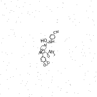 N#Cc1ccc(NC(O)N2CCn3nc(-c4ccc5c(c4)OCO5)c(C(N)=O)c3C2)cc1